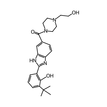 CC(C)(C)c1cccc(-c2nc3ccc(C(=O)N4CCN(CCO)CC4)cc3[nH]2)c1O